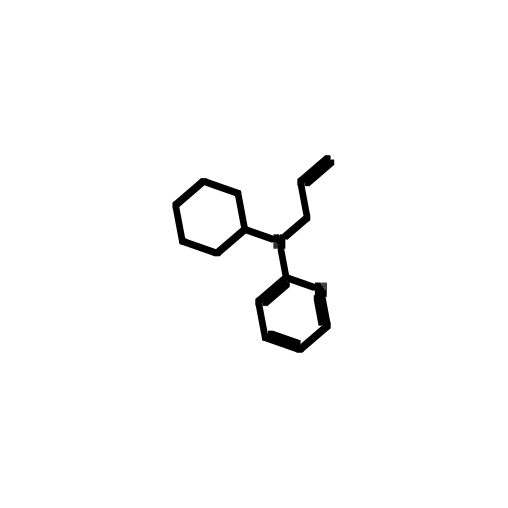 C=CCN(c1ccccn1)C1CCCCC1